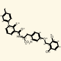 Cc1ccc([C@@H]2C=CC=C(C(=O)N[C@@H](Cc3ccc(OCc4c(Cl)cccc4Cl)cc3)C(=O)O)C2=S)cc1